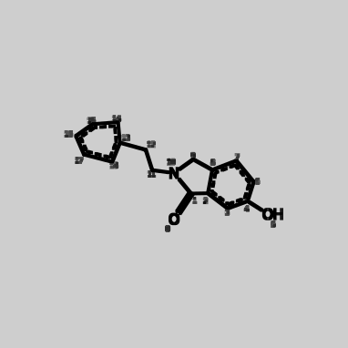 O=C1c2cc(O)ccc2CN1CCc1ccccc1